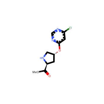 COC(=O)[C@@H]1C[C@@H](Oc2cc(Cl)ncn2)CN1